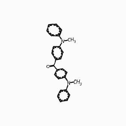 CN(c1ccccc1)c1ccc(C(=O)c2ccc(N(C)c3ccccc3)cc2)cc1